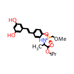 COCP(=O)(NC(C)C(=O)OC(C)C)Oc1ccc(/C=C/c2cc(O)cc(O)c2)cc1